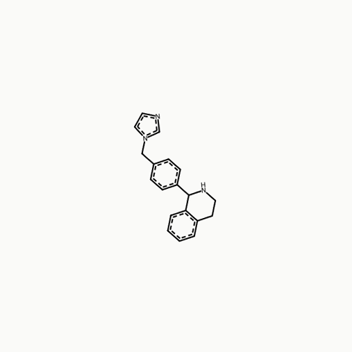 c1ccc2c(c1)CCNC2c1ccc(Cn2ccnc2)cc1